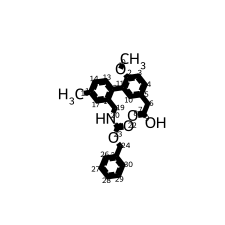 COc1ccc(CC(=O)O)cc1-c1ccc(C)cc1CNC(=O)OCc1ccccc1